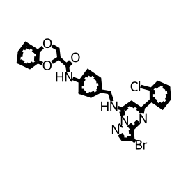 O=C(Nc1ccc(CNc2cc(-c3ccccc3Cl)nc3c(Br)cnn23)cc1)C1COc2ccccc2O1